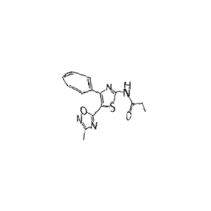 CCC(=O)Nc1nc(-c2ccccc2)c(-c2nc(C)no2)s1